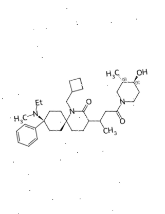 CCN(C)[C@]1(c2ccccc2)CC[C@@]2(CCC(C(C)CC(=O)N3CC[C@H](O)[C@@H](C)C3)C(=O)N2CC2CCC2)CC1